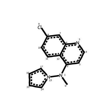 CN(c1ccnc2cc(Cl)ccc12)n1cccc1